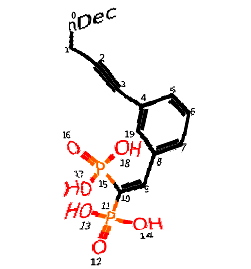 CCCCCCCCCCCC#Cc1cccc(C=C(P(=O)(O)O)P(=O)(O)O)c1